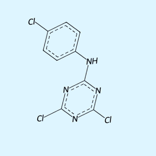 Clc1ccc(Nc2nc(Cl)nc(Cl)n2)cc1